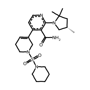 C[C@@H]1CN(c2nccc(C3=CCCN(S(=O)(=O)N4CCCCC4)C3)c2C(N)=O)C(C)(C)C1